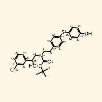 CC(C)(C)OC(=O)N(CCc1ccc(Sc2ccc(O)cc2)cc1)C[C@@H](O)c1cccc(Cl)c1